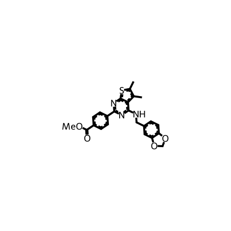 COC(=O)c1ccc(-c2nc(NCc3ccc4c(c3)OCO4)c3c(C)c(C)sc3n2)cc1